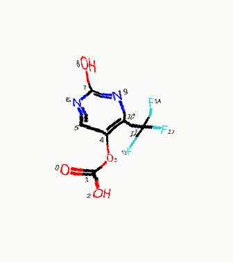 O=C(O)Oc1cnc(O)nc1C(F)(F)F